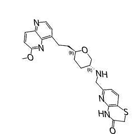 COc1ccc2nccc(CC[C@@H]3CC[C@@H](NCc4ccc5c(n4)NC(=O)CS5)CO3)c2n1